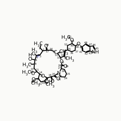 CCC1/C=C(\C)C(O)C(C)CC(OC)C2OC(O)(C(=O)C(=O)N3CCCCC3C(=O)OC(C(C)=CC3CCC(Oc4ccc5[nH]ccc5c4)C(OC)C3)C(C)CCC1=O)C(C)CC2OC